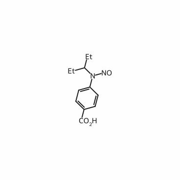 CCC(CC)N(N=O)c1ccc(C(=O)O)cc1